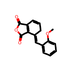 COc1ccccc1C=C1CC=CC2=C1C(=O)OC2=O